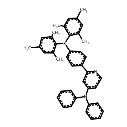 Cc1cc(C)c(B(c2ccc(-c3cc(N(c4ccccc4)c4ccccc4)ccn3)cc2)c2c(C)cc(C)cc2C)c(C)c1